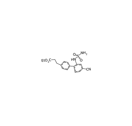 CCOC(=O)CCc1ccc(-c2ccc(C#N)cc2NS(N)(=O)=O)cc1